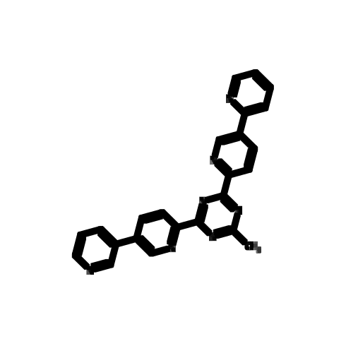 Cc1nc(-c2ccc(-c3cccnc3)cn2)nc(-c2ccc(-c3ccccn3)cn2)n1